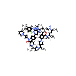 C=CNC(=C)CCC(C)N(C)C(=O)c1cc(N2CCC(C(=C)N3CCC(C(=C)N4CCC5(CC4)C(=O)N(C4CC(N6CCCCC6)C4)c4cc(-c6cc7ncn(C(C)C)c7c(Nc7cc(C)c(C)cc7F)n6)ccc45)C3)CC2)ccc1C=C